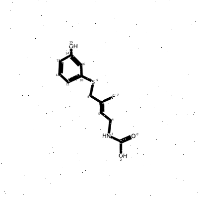 O=C(O)NCC=C(F)CSc1cccc(O)c1